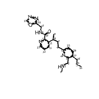 CNCc1nc(CCC(C)c2cccnc2C(=O)NCc2nnco2)ccc1CSC